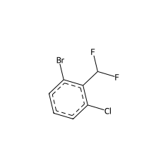 FC(F)c1c(Cl)cccc1Br